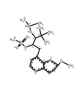 COc1ccc2nccc(CC(OS(C)(=O)=O)C(O[SiH](C)C)C(C)(C)C)c2n1